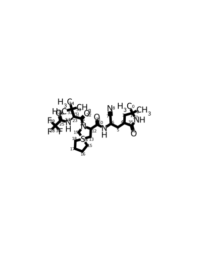 CC1(C)CC(CC(C#N)NC(=O)C2CS3(CCCC3)CN2C(=O)[C@@H](NC(=O)C(F)(F)F)C(C)(C)C)C(=O)N1